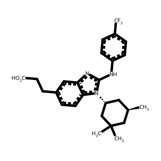 C[C@@H]1C[C@@H](n2c(Nc3ccc(C(F)(F)F)cc3)nc3cc(CCC(=O)O)ccc32)CC(C)(C)C1